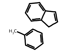 C1=Cc2ccccc2C1.Cc1ccccc1